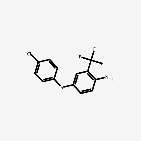 Nc1ccc(Sc2ccc(Cl)cc2)cc1C(F)(F)F